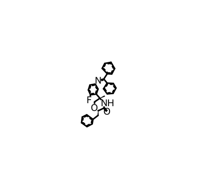 C[C@]1(c2cc(N=C(c3ccccc3)c3ccccc3)ccc2F)CO[C@H](Cc2ccccc2)C(=O)N1